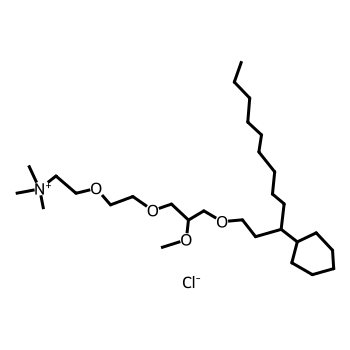 CCCCCCCCCC(CCOCC(COCCOCC[N+](C)(C)C)OC)C1CCCCC1.[Cl-]